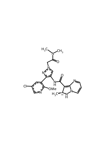 COc1ncc(Cl)cc1-c1nn(CC(=O)N(C)C)cc1NC(=O)C1=C2N=CC=CN2N[C@H]1C